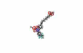 CCOC(=O)C(=O)N(Cc1ccc(C#CCCCCCCCCC(=O)OC)cc1)Cc1ccc(C(F)(F)F)cc1